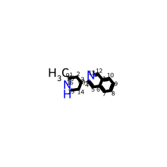 C[C@H]1C[C@H](c2cc3ccccc3cn2)CCN1